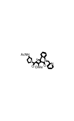 COc1c(C(=O)N2CCC(NC(C)=O)C2)sc2c1c(=O)n(Cc1ccccn1)c1ccccc21